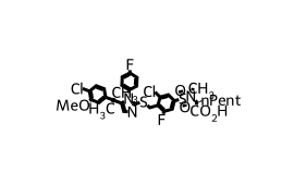 CCCCC[C@H](C(=O)O)N(C)S(=O)(=O)c1cc(F)c(CSc2ncc(C(C)(C)c3ccc(Cl)c(OC)c3)n2-c2ccc(F)cc2)c(Cl)c1